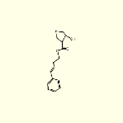 O=C(OCCC=Cc1ccccc1)C1CCCC1O